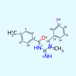 Cc1ccc(C(=O)NC(=N)N(C)Cc2cccc(I)c2)cc1